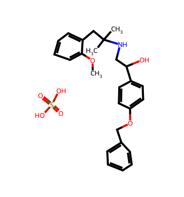 COc1ccccc1CC(C)(C)NCC(O)c1ccc(OCc2ccccc2)cc1.O=S(=O)(O)O